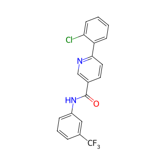 O=C(Nc1cccc(C(F)(F)F)c1)c1ccc(-c2ccccc2Cl)nc1